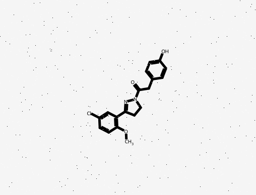 COc1ccc(Cl)cc1C1=NN(C(=O)Cc2ccc(O)cc2)CC1